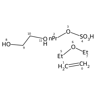 C=C.CCCOS(=O)(=O)O.CCOCC.OCCO